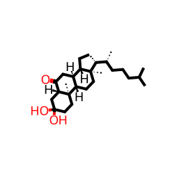 CC(C)CCC[C@@H](C)[C@H]1CC[C@H]2[C@@H]3CC(=O)[C@H]4CC(O)(O)CC[C@]4(C)[C@H]3CC[C@]12C